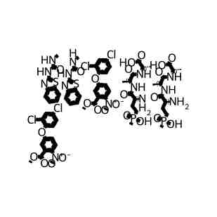 CNC(=O)Nc1nc2ccccc2s1.CNC(=O)Nc1nc2ccccc2s1.COC(=O)c1cc(Oc2ccc(Cl)cc2Cl)ccc1[N+](=O)[O-].COC(=O)c1cc(Oc2ccc(Cl)cc2Cl)ccc1[N+](=O)[O-].C[C@H](NC(=O)[C@H](C)NC(=O)[C@@H](N)CCP(C)(=O)O)C(=O)O.C[C@H](NC(=O)[C@H](C)NC(=O)[C@@H](N)CCP(C)(=O)O)C(=O)O